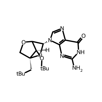 CC(C)(C)C[C@@]12COC([C@H](n3cnc4c(=O)[nH]c(N)nc43)O1)[C@H]2OC(C)(C)C